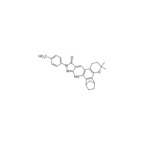 CC1=NN(c2ccc(C(=O)O)cc2)C(=O)C1=Cc1c(O)c2c(c3c1CCC(C)(C)O3)C1CCC2C1